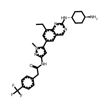 CCc1cc(-c2cc(NC(=O)Cc3ccc(C(F)(F)F)cc3)nn2C)cc2cnc(N[C@H]3CC[C@H](N)CC3)nc12